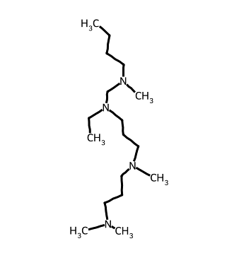 CCCCN(C)CN(CC)CCCN(C)CCCN(C)C